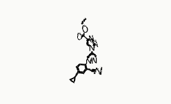 CCOC(=O)c1cn(-c2cnn(-c3ccc(C4CC4)cc3C#N)c2)nn1